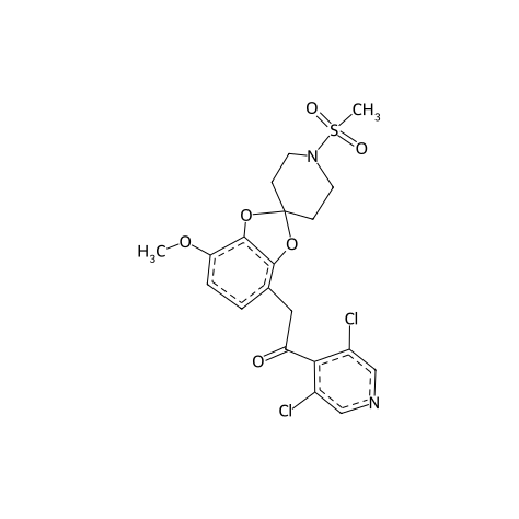 COc1ccc(CC(=O)c2c(Cl)cncc2Cl)c2c1OC1(CCN(S(C)(=O)=O)CC1)O2